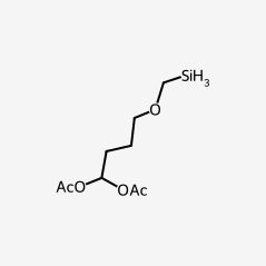 CC(=O)OC(CCCOC[SiH3])OC(C)=O